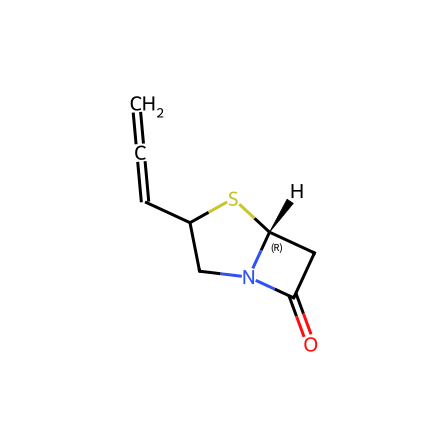 C=C=CC1CN2C(=O)C[C@H]2S1